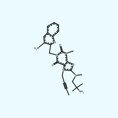 CC#CCn1c(N(C)CC(C)(C)N)nc2c1c(=O)n(Cc1nc3ccccc3cc1N)c(=O)n2C